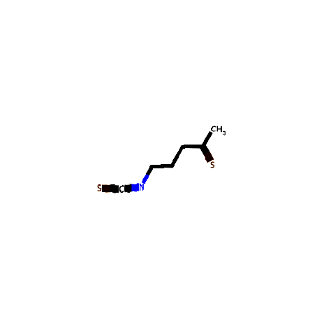 CC(=S)CCCN=C=S